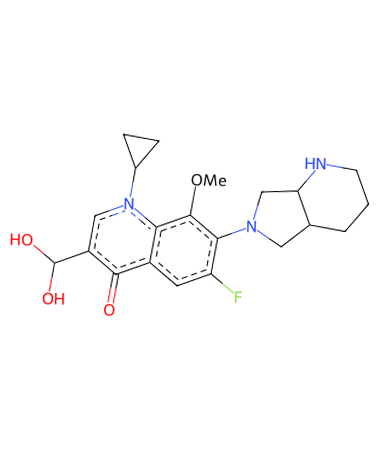 COc1c(N2CC3CCCNC3C2)c(F)cc2c(=O)c(C(O)O)cn(C3CC3)c12